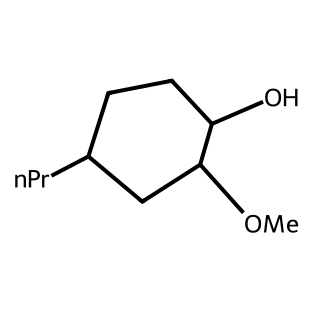 CCCC1CCC(O)C(OC)C1